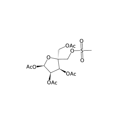 CC(=O)OC[C@@]1(COS(C)(=O)=O)O[C@H](OC(C)=O)[C@H](OC(C)=O)[C@@H]1OC(C)=O